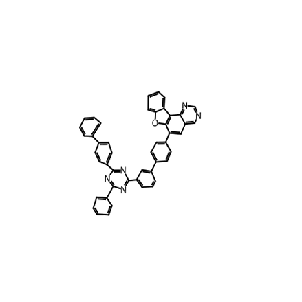 c1ccc(-c2ccc(-c3nc(-c4ccccc4)nc(-c4cccc(-c5ccc(-c6cc7cncnc7c7c6oc6ccccc67)cc5)c4)n3)cc2)cc1